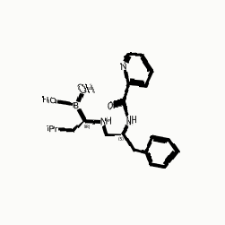 CC(C)C[C@H](NC[C@H](Cc1ccccc1)NC(=O)c1ccccn1)B(O)O